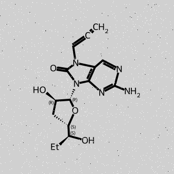 C=C=Cn1c(=O)n([C@@H]2O[C@H]([C@@H](O)CC)C[C@H]2O)c2nc(N)ncc21